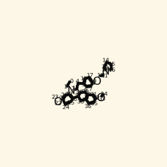 CCN(CCc1ccc(OCCN2CCCC2)cc1)c1cc(OC)ccc1C1CCc2cc(OC)ccc2C1